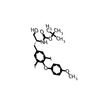 COc1ccc(Oc2c(I)cc(C[C@H](CO)NC(=O)OC(C)(C)C)cc2I)cc1